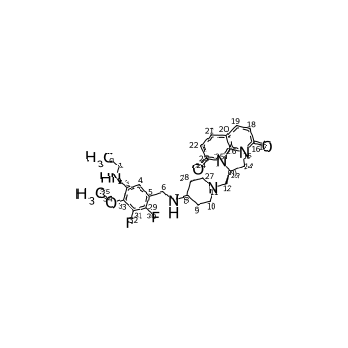 CCNc1cc(CNC2CCN(C[C@@H]3Cn4c(=O)ccc5ccc(=O)n3c54)CC2)c(F)c(F)c1OC